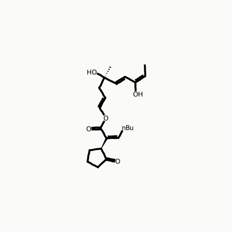 C/C=C(O)\C=C\[C@](C)(O)C/C=C/OC(=O)C(=CCCCC)[C@@H]1CCCC1=O